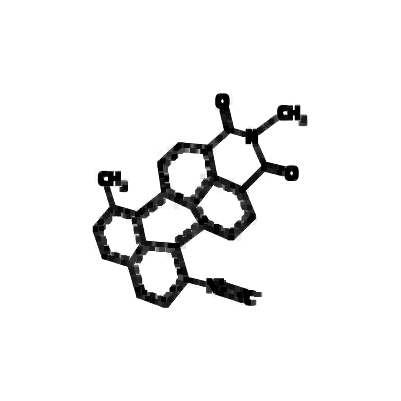 [C-]#[N+]c1ccc2ccc(C)c3c4ccc5c6c(ccc(c1c23)c64)C(=O)N(C)C5=O